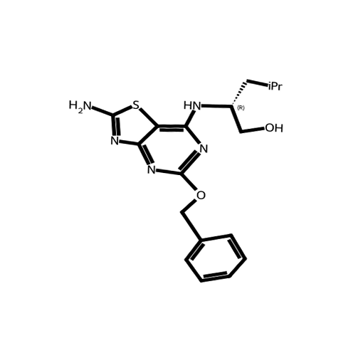 CC(C)C[C@H](CO)Nc1nc(OCc2ccccc2)nc2nc(N)sc12